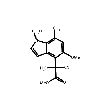 COC(=O)C(C)(C#N)c1c(OC)cc(C)c2c1ccn2C(=O)O